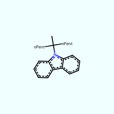 CCCCCC(C)(CCCCC)n1c2ccccc2c2ccccc21